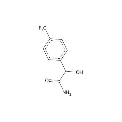 NC(=O)C(O)c1ccc(C(F)(F)F)cc1